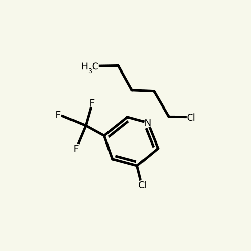 CCCCCCl.FC(F)(F)c1cncc(Cl)c1